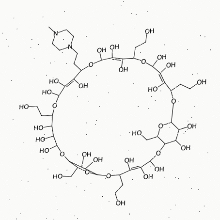 CN1CCN(CCC2OC(O)/C(O)=C(\O)C(CCO)OC(O)/C(O)=C(\O)C(CCO)OC3OC(CO)C(OC(O)/C(O)=C(\O)C(CCO)OC4OC(CO)C(OC(O)C(O)C(O)C(CCO)OC(O)/C(O)=C/2O)C(O)C4O)C(O)C3O)CC1